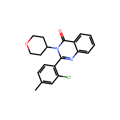 Cc1ccc(-c2nc3ccccc3c(=O)n2C2CCOCC2)c(Cl)c1